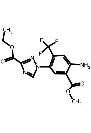 CCOC(=O)c1ncn(-c2cc(C(=O)OC)c(N)cc2C(F)(F)F)n1